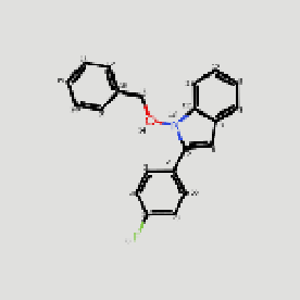 Fc1ccc(-c2cc3ccccc3n2OCc2ccccc2)cc1